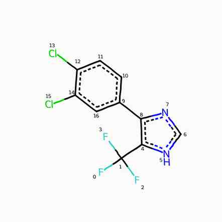 FC(F)(F)c1[nH]cnc1-c1ccc(Cl)c(Cl)c1